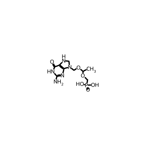 CC(OCN1CNc2c1nc(N)[nH]c2=O)OCP(=O)(O)O